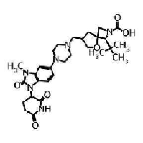 Cn1c(=O)n(C2CCC(=O)NC2=O)c2ccc(N3CCN(CC4COC5(C4)CN(C(=O)O)C5C(C)(C)C)CC3)cc21